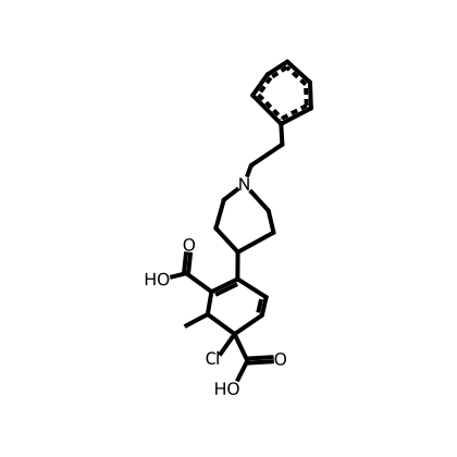 CC1C(C(=O)O)=C(C2CCN(CCc3ccccc3)CC2)C=CC1(Cl)C(=O)O